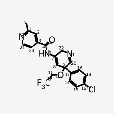 Cc1cc(C(=O)NC2=CC(OCC(F)(F)F)(c3ccc(Cl)cc3)C=NC2)ccn1